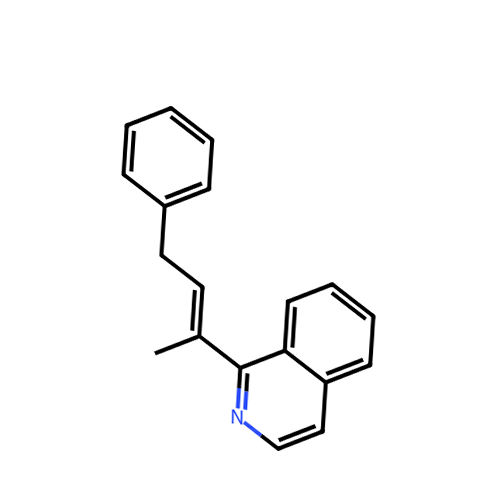 CC(=CCc1ccccc1)c1nccc2ccccc12